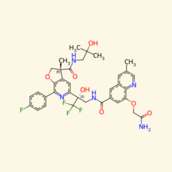 Cc1cnc2c(OCC(N)=O)cc(C(=O)NC[C@](O)(c3cc4c(c(-c5ccc(F)cc5)n3)OC[C@]4(C)C(=O)NCC(C)(C)O)C(F)(F)F)cc2c1